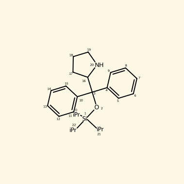 CC(C)[Si](OC(c1ccccc1)(c1ccccc1)C1CCCN1)(C(C)C)C(C)C